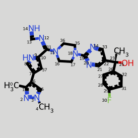 Cc1nn(C)cc1-c1c[nH]c(/C(=N\C=N)N2CCN(c3ncc([C@](C)(O)c4ccc(F)cc4)cn3)CC2)c1